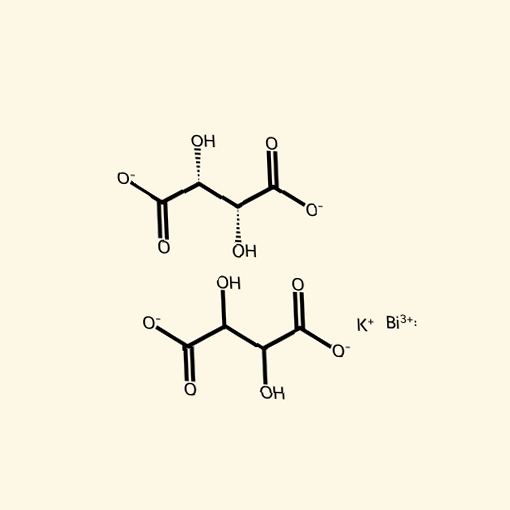 O=C([O-])C(O)C(O)C(=O)[O-].O=C([O-])[C@H](O)[C@@H](O)C(=O)[O-].[Bi+3].[K+]